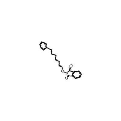 O=C1c2ccccc2C(=O)N1OCCCCCCCc1ccccc1